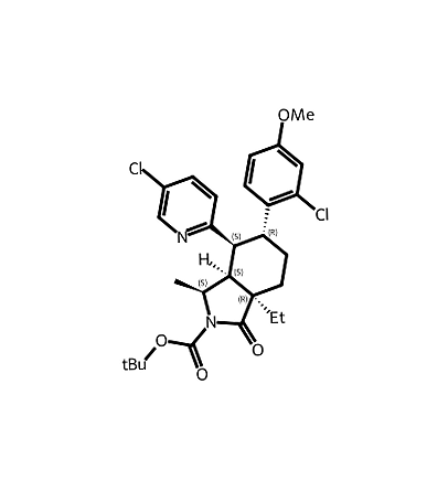 CC[C@@]12CC[C@@H](c3ccc(OC)cc3Cl)[C@H](c3ccc(Cl)cn3)[C@@H]1[C@H](C)N(C(=O)OC(C)(C)C)C2=O